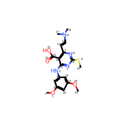 COc1cc(Nc2nc(SC)nc(C=CN(C)C)c2C(=O)O)cc(OC)c1